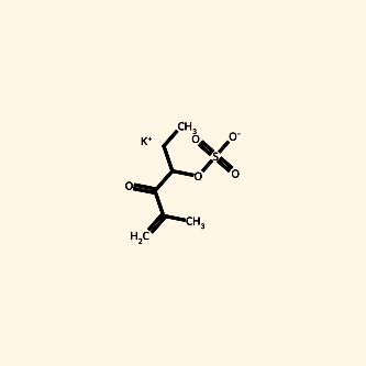 C=C(C)C(=O)C(CC)OS(=O)(=O)[O-].[K+]